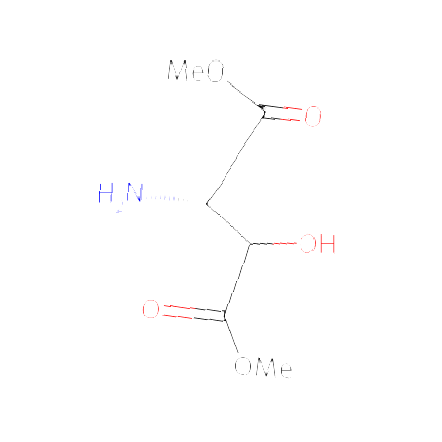 COC(=O)C(O)[C@H](N)C(=O)OC